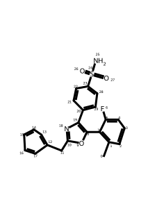 Cc1cccc(F)c1-c1oc(Cc2ccccc2)nc1-c1ccc(S(N)(=O)=O)cc1